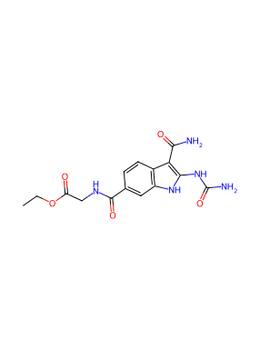 CCOC(=O)CNC(=O)c1ccc2c(C(N)=O)c(NC(N)=O)[nH]c2c1